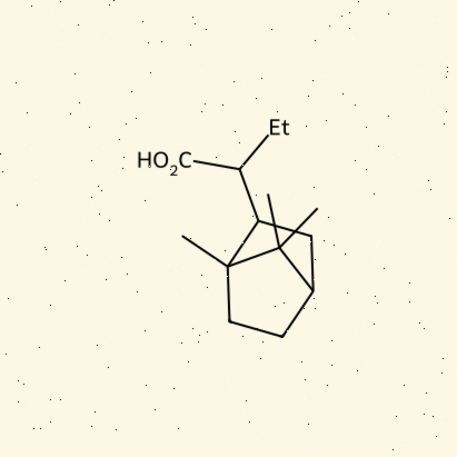 CCC(C(=O)O)C1CC2CCC1(C)C2(C)C